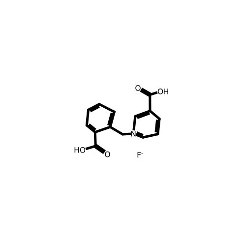 O=C(O)c1ccc[n+](Cc2ccccc2C(=O)O)c1.[F-]